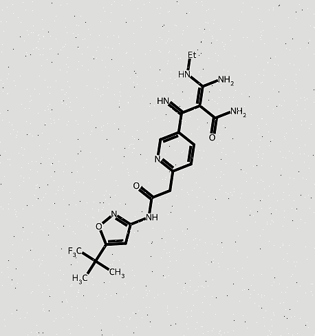 CCN/C(N)=C(\C(=N)c1ccc(CC(=O)Nc2cc(C(C)(C)C(F)(F)F)on2)nc1)C(N)=O